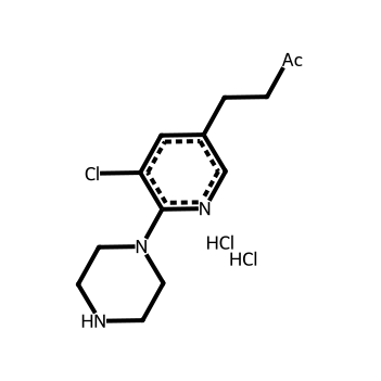 CC(=O)CCc1cnc(N2CCNCC2)c(Cl)c1.Cl.Cl